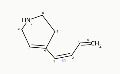 C=C/C=C\C1=CCNCC1